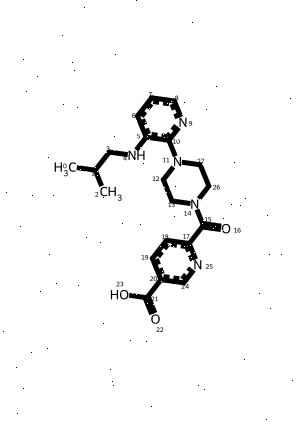 CC(C)CNc1cccnc1N1CCN(C(=O)c2ccc(C(=O)O)cn2)CC1